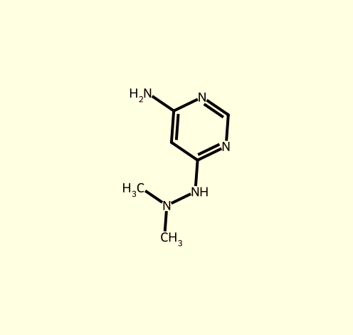 CN(C)Nc1cc(N)ncn1